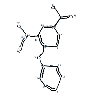 O=C(Cl)c1ccc(Oc2ccccc2)c([N+](=O)[O-])c1